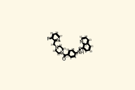 O=C(c1ccc(NSc2cccc3cccnc23)cc1)N1CCN(Cc2ncccc2F)CC1